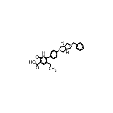 CCc1cc(C(=O)O)c(=O)[nH]c1-c1ccc(N2C[C@H]3CN(Cc4ccccc4)C[C@H]3C2)cc1